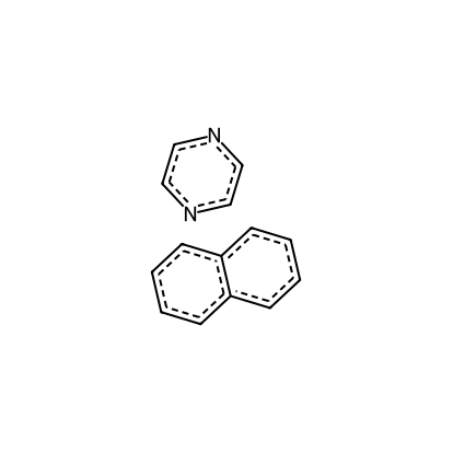 c1ccc2ccccc2c1.c1cnccn1